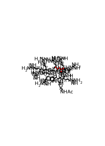 CC(=O)NCCOCC(=O)N[C@@H](Cc1ccc(C(C)=O)cc1)C(=O)N[C@H](CCCNC(=N)N)C(=O)N[C@H](CCCNC(=N)N)C(=O)N[C@H](CCCNC(=N)N)C(=O)N[C@H](CCCNC(=N)N)C(=O)N[C@H](CCCNC(=N)N)C(=O)N[C@H](CCCNC(=N)N)C(=O)N[C@H](CCCNC(=N)N)C(=O)N[C@H](CCCNC(=N)N)C(=O)NCC(N)=O